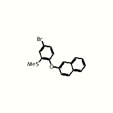 CSc1cc(Br)ccc1Oc1ccc2ccccc2c1